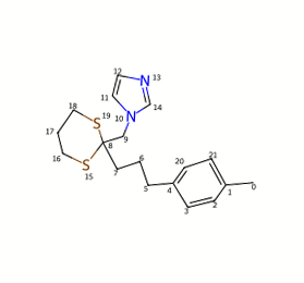 Cc1ccc(CCCC2(Cn3ccnc3)SCCCS2)cc1